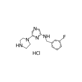 Cl.Fc1cccc(CNc2cncc(N3CCNCC3)n2)c1